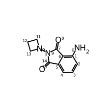 Nc1cccc2c1C(=O)N(N1CCC1)C2=O